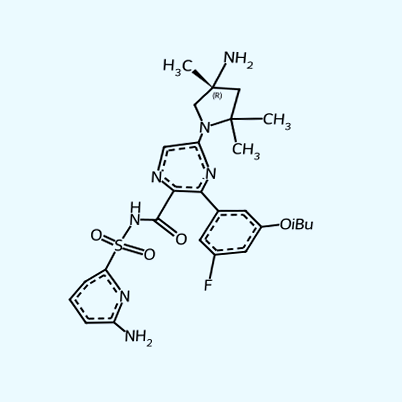 CC(C)COc1cc(F)cc(-c2nc(N3C[C@](C)(N)CC3(C)C)cnc2C(=O)NS(=O)(=O)c2cccc(N)n2)c1